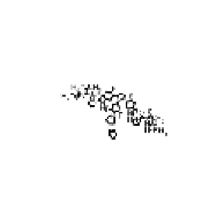 COC(=O)NC(C(=O)N1CCC[C@H]1c1nc2cc(F)c([C@H]3CC[C@H](c4cc5[nH]c([C@@H]6CCCN6C(=O)[C@@H](NC(=O)OC)C(C)C)nc5cc4F)N3c3cc(F)c(N4CCC(Cc5ccccc5)CC4)c(F)c3)cc2[nH]1)C(C)C